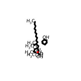 CCCCCCCCCCCCC(CC(CCC(=O)O)CC(C)C(C)(C)C)C(C)(C)C.Oc1ccccc1